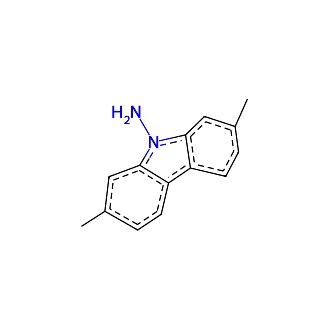 Cc1ccc2c3ccc(C)cc3n(N)c2c1